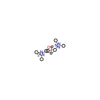 c1ccc(-c2nc(-c3ccccc3)nc(-c3ccc4c(c3)C3(c5ccccc5Oc5ccccc53)c3c(-c5cccc(-c6nc(-c7ccccc7)c7sc8ccccc8c7n6)c5)cccc3-4)n2)cc1